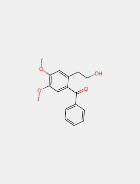 COc1cc(CCO)c(C(=O)c2ccccc2)cc1OC